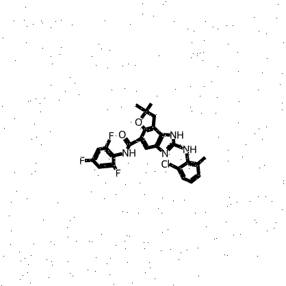 Cc1cccc(Cl)c1Nc1nc2cc(C(=O)Nc3c(F)cc(F)cc3F)c3c(c2[nH]1)CC(C)(C)O3